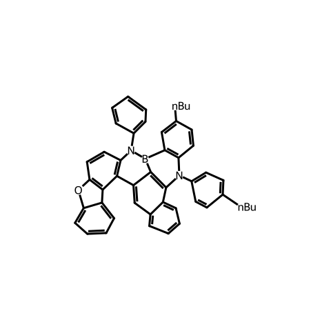 CCCCc1ccc(N2c3ccc(CCCC)cc3B3c4c(cc5ccccc5c42)-c2c(ccc4oc5ccccc5c24)N3c2ccccc2)cc1